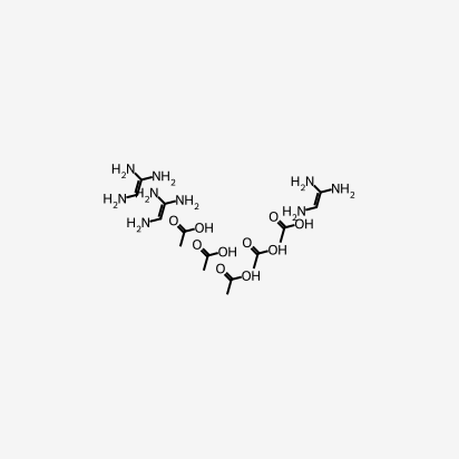 CC(=O)O.CC(=O)O.CC(=O)O.CC(=O)O.CC(=O)O.NC=C(N)N.NC=C(N)N.NC=C(N)N